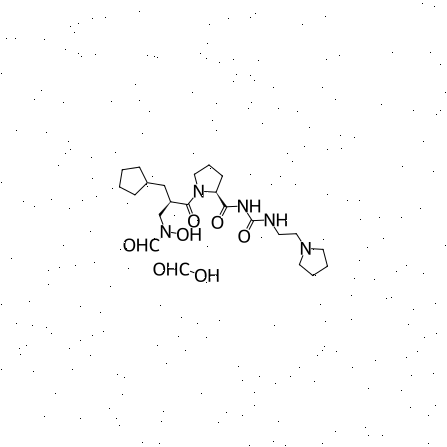 O=CN(O)C[C@@H](CC1CCCC1)C(=O)N1CCC[C@H]1C(=O)NC(=O)NCCN1CCCC1.O=CO